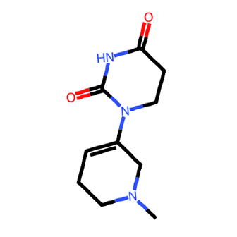 CN1CCC=C(N2CCC(=O)NC2=O)C1